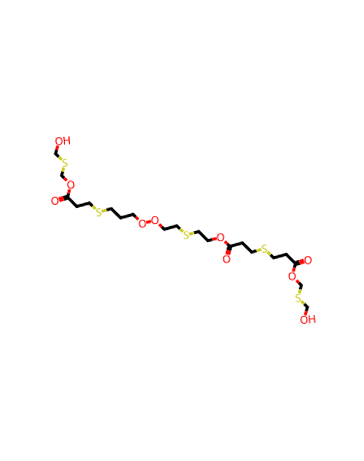 O=C(CCSCCC(=O)OCSCO)OCCSCCOOCCCSCCC(=O)OCSCO